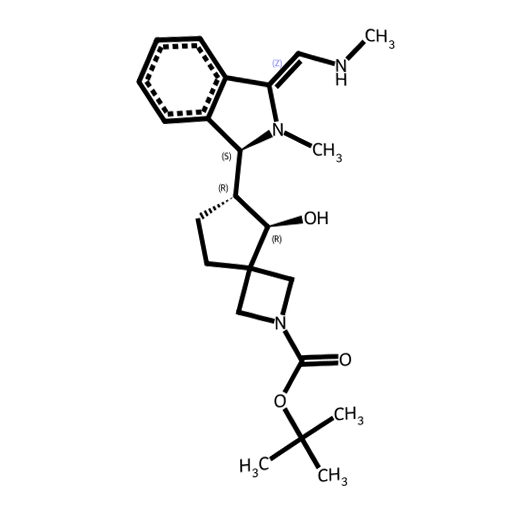 CN/C=C1/c2ccccc2[C@H]([C@H]2CCC3(CN(C(=O)OC(C)(C)C)C3)[C@@H]2O)N1C